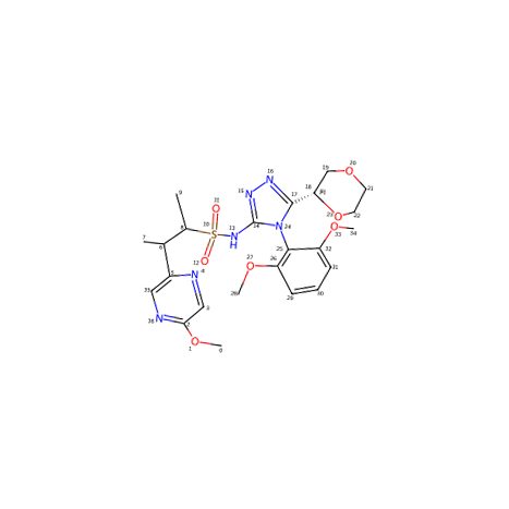 COc1cnc(C(C)C(C)S(=O)(=O)Nc2nnc([C@@H]3COCCO3)n2-c2c(OC)cccc2OC)cn1